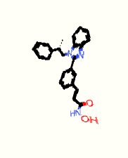 C[C@H](Cn1c(-c2cccc(C=CC(=O)NO)c2)nc2ccccc21)c1ccccc1